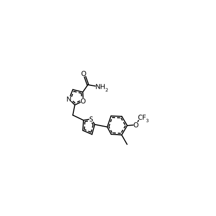 Cc1cc(-c2ccc(Cc3ncc(C(N)=O)o3)s2)ccc1OC(F)(F)F